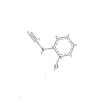 C#CSc1ccccc1Cl